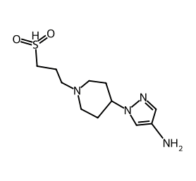 Nc1cnn(C2CCN(CCC[SH](=O)=O)CC2)c1